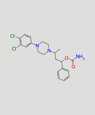 CC(CC(OC(N)=O)c1ccccc1)N1CCN(c2ccc(Cl)c(Cl)c2)CC1